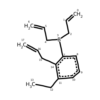 C=CCB(CC=C)c1cccc(CC)c1CC=C